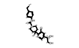 O=C(Nc1ccc(CF)cc1)N1CCC(F)(c2ncc([C@H](O)CO)cc2Cl)CC1